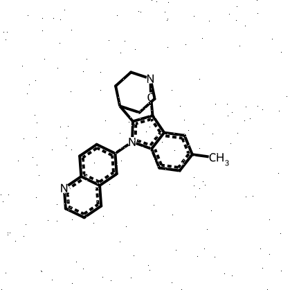 Cc1ccc2c(c1)c1c(n2-c2ccc3ncccc3c2)C2CCN(CC2)C1